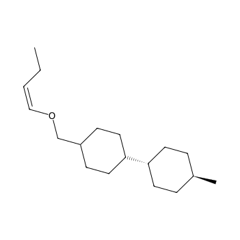 CC/C=C\OCC1CCC([C@H]2CC[C@H](C)CC2)CC1